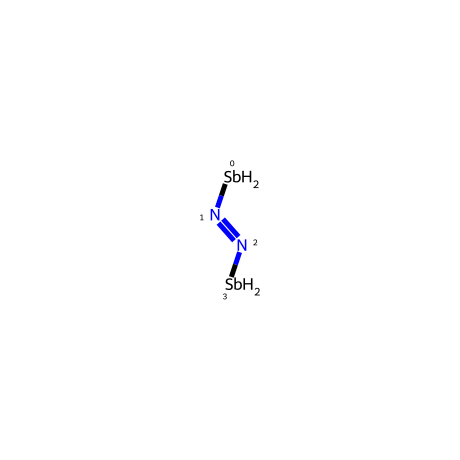 [SbH2][N]=[N][SbH2]